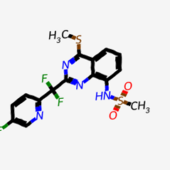 CSc1nc(C(F)(F)c2ccc(F)cn2)nc2c(NS(C)(=O)=O)cccc12